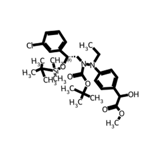 CCN(c1ccc(C(O)C(=O)OC)cc1)N(C[C@H](O[Si](C)(C)C(C)(C)C)c1cccc(Cl)c1)C(=O)OC(C)(C)C